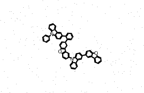 C1=CC(c2ccccc2-c2ccc3c(c2)c2ccccc2n3-c2ccccc2)Cc2c1oc1ccc(-n3c4ccccc4c4cc(-c5ccc6oc7ccccc7c6c5)ccc43)cc21